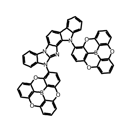 c1cc2c3c(c1)Oc1ccc(-n4c5ccccc5c5ccc6c(nc7n(-c8ccc9c%10c8Oc8cccc%11c8B%10c8c(cccc8O9)O%11)c8ccccc8n67)c54)c4c1B3c1c(cccc1O4)O2